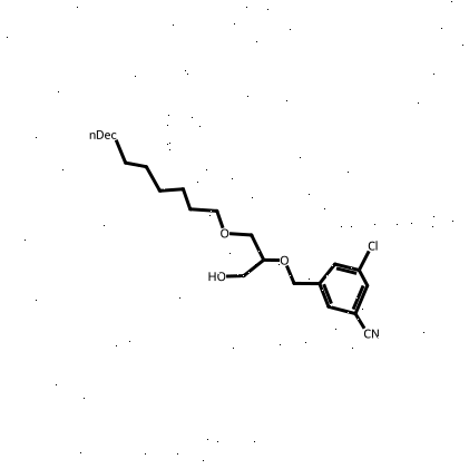 CCCCCCCCCCCCCCCCOCC(CO)OCc1cc(Cl)cc(C#N)c1